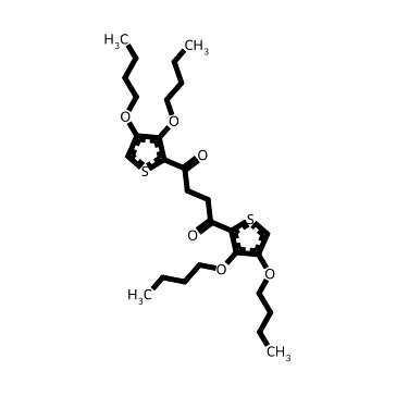 CCCCOc1csc(C(=O)CCC(=O)c2scc(OCCCC)c2OCCCC)c1OCCCC